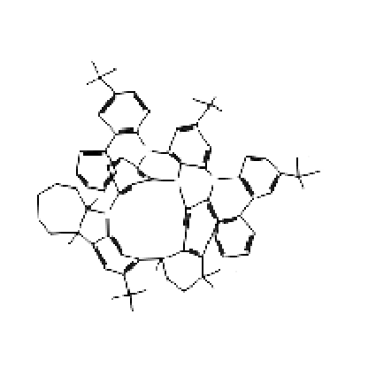 CC(C)(C)c1ccc(N2c3ccc4cc3B3c5cc6c(cc5N(c5ccc(C(C)(C)C)cc5-c5ccccc5)c5cc(C(C)(C)C)cc2c53)C(C)(C)CCC6(C)c2cc3c(cc2C(C)(C)C)C2(C)CCCCCC2(C)N43)c(-c2ccccc2)c1